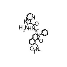 CC(=O)N(C)Cc1cccc2cc([C@H](C)NC(=O)c3c(N)nn4cccnc34)n(-c3ccccc3)c(=O)c12